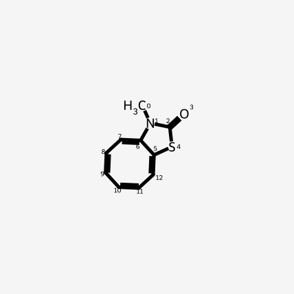 Cn1c(=O)sc2/c1=C\C=C/C=C\C=2